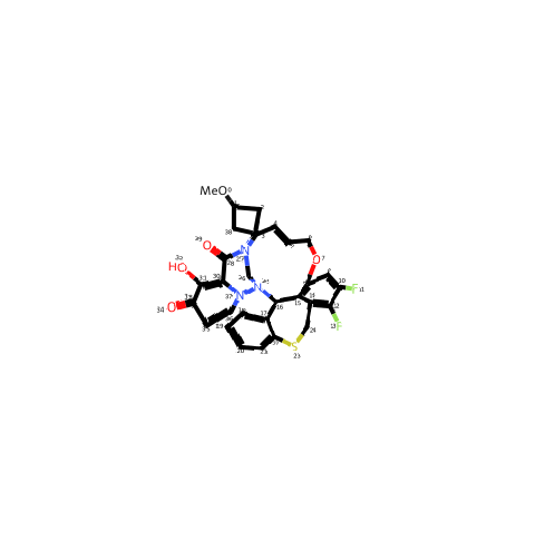 COC1CC2(/C=C/COc3cc(F)c(F)c4c3C(c3ccccc3SC4)N3CN2C(=O)c2c(O)c(=O)ccn23)C1